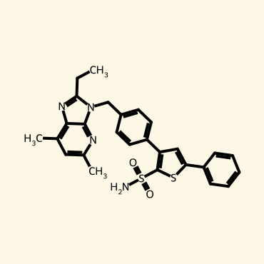 CCc1nc2c(C)cc(C)nc2n1Cc1ccc(-c2cc(-c3ccccc3)sc2S(N)(=O)=O)cc1